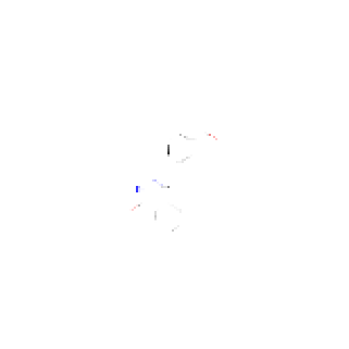 O=[C]c1cc(Cc2n[nH]c(=O)c3ccccc23)ccc1F